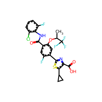 CC(Oc1cc(-c2nc(C(=O)O)c(C3CC3)s2)c(F)cc1C(=O)Nc1c(F)cccc1Cl)C(F)(F)F